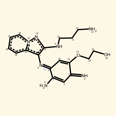 N=C1C=C(N)/C(=N/c2c(NCCCN)nn3ccccc23)C=C1OCCO